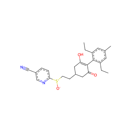 CCc1cc(C)cc(CC)c1C1=C(O)CC(CC[S+]([O-])c2ccc(C#N)cn2)CC1=O